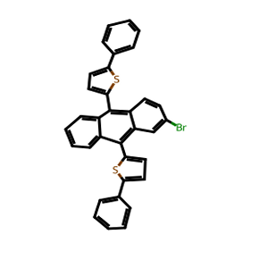 Brc1ccc2c(-c3ccc(-c4ccccc4)s3)c3ccccc3c(-c3ccc(-c4ccccc4)s3)c2c1